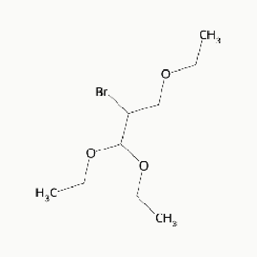 CCOCC(Br)C(OCC)OCC